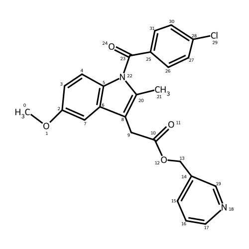 COc1ccc2c(c1)c(CC(=O)OCc1cccnc1)c(C)n2C(=O)c1ccc(Cl)cc1